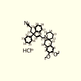 COc1cc2c(cc1OC)CC1(CCCCN1CC=CC(CCC#N)(c1ccccc1)c1ccccc1)CC2.Cl